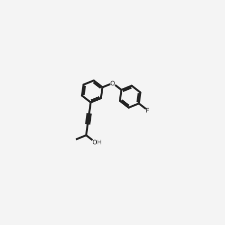 CC(O)C#Cc1cccc(Oc2ccc(F)cc2)c1